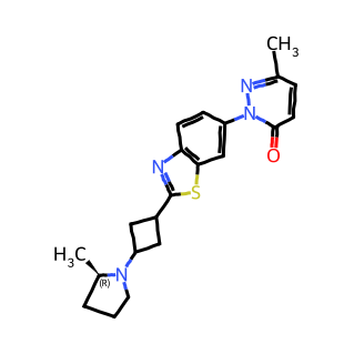 Cc1ccc(=O)n(-c2ccc3nc(C4CC(N5CCC[C@H]5C)C4)sc3c2)n1